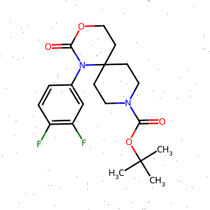 CC(C)(C)OC(=O)N1CCC2(CCOC(=O)N2c2ccc(F)c(F)c2)CC1